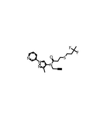 C#CCN(C(=O)CCSCCC(C)(F)F)c1cn(-c2cccnc2)nc1C